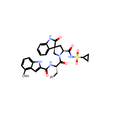 COc1cccc2[nH]c(C(=O)N[C@@H](CC(C)C)C(=O)N3C[C@]4(C[C@H]3C(=O)NS(=O)(=O)C3CC3)C(=O)Nc3ccccc34)cc12